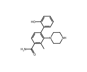 Cc1c(C(N)=O)ccc(-c2ccccc2O)c1N1CCNCC1